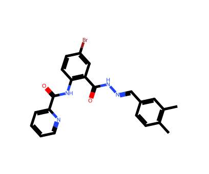 Cc1ccc(/C=N/NC(=O)c2cc(Br)ccc2NC(=O)c2ccccn2)cc1C